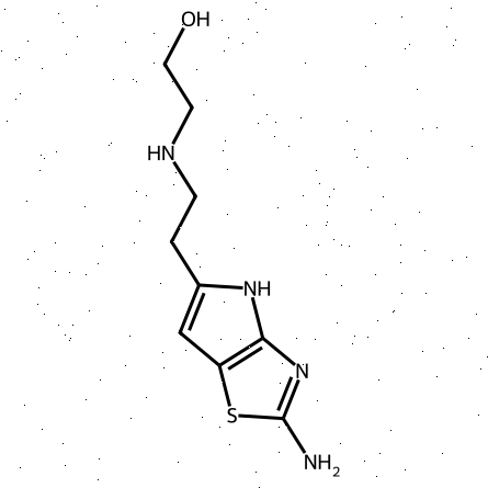 Nc1nc2[nH]c(CCNCCO)cc2s1